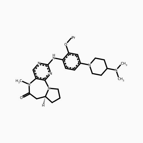 CC(C)Oc1cc(N2CCC(N(C)C)CC2)ccc1Nc1ncc2c(n1)N1CCC[C@H]1CC(=O)N2C